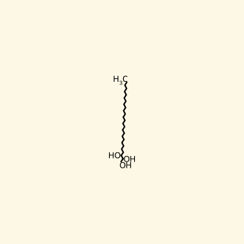 CCCCCCCCCCCCCCCCCCCCCCCCC(O)C(O)CO